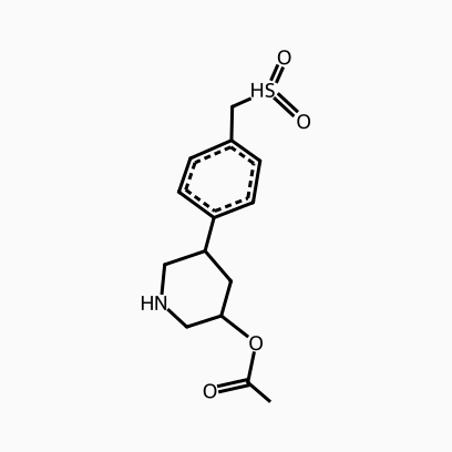 CC(=O)OC1CNCC(c2ccc(C[SH](=O)=O)cc2)C1